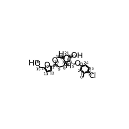 Cc1cc(OC[C@@H]2[C@H]3CC[C@H](c4ccc(CO)o4)OC[C@H]3C[C@@H]2O)ccc1Cl